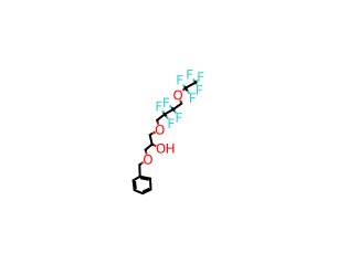 OC(COCc1ccccc1)COCC(F)(F)C(F)(F)COC(F)(F)C(F)(F)F